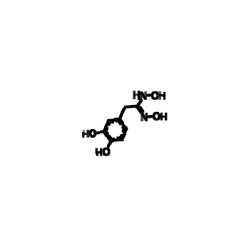 ON=C(Cc1ccc(O)c(O)c1)NO